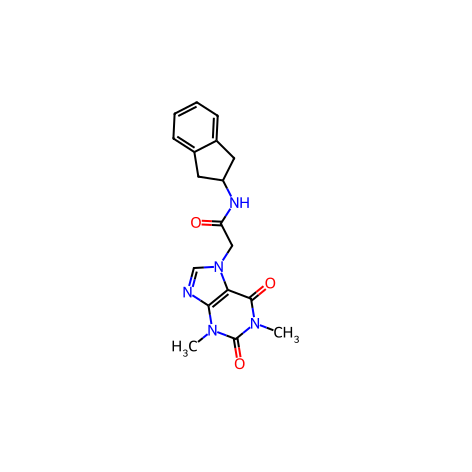 Cn1c(=O)c2c(ncn2CC(=O)NC2Cc3ccccc3C2)n(C)c1=O